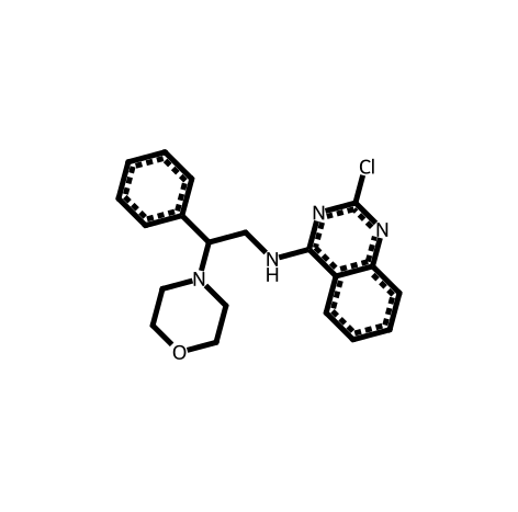 Clc1nc(NCC(c2ccccc2)N2CCOCC2)c2ccccc2n1